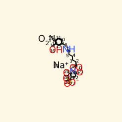 O=C(CCCCCNCc1ccc([N+](=O)[O-])c(CO)c1)ON1C(=O)CC(S(=O)(=O)[O-])C1=O.[Na+]